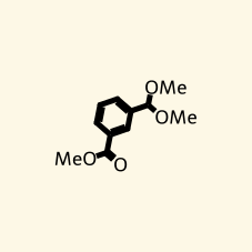 COC(=O)c1cccc(C(OC)OC)c1